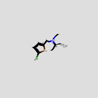 C[C@H](C(=O)O)N(C)Cc1ccc(Br)s1